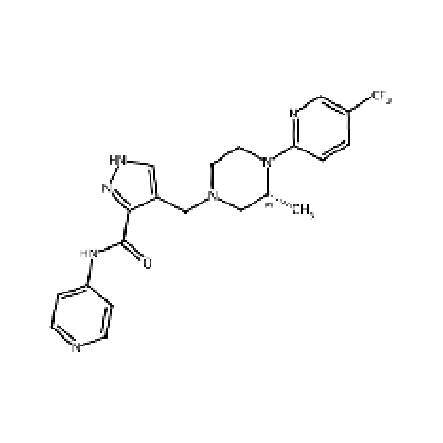 C[C@@H]1CN(Cc2c[nH]nc2C(=O)Nc2ccncc2)CCN1c1ccc(C(F)(F)F)cn1